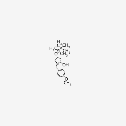 COc1ccc(CN2C[C@H](O[Si](C)(C)C(C)(C)C)C[C@H]2O)cc1